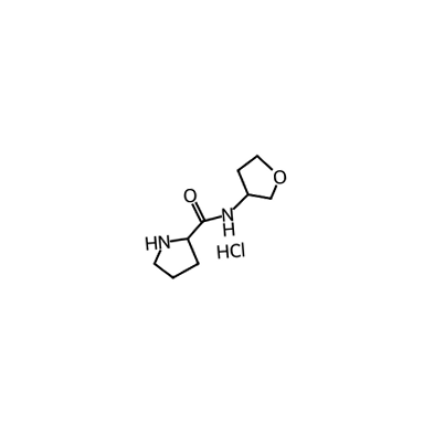 Cl.O=C(NC1CCOC1)C1CCCN1